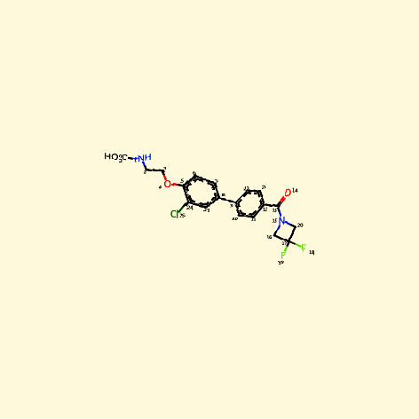 O=C(O)NCCOc1ccc(-c2ccc(C(=O)N3CC(F)(F)C3)cc2)cc1Cl